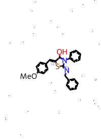 COc1ccc(/C=C2\S/C(=N\Cc3ccccc3)N(c3ccccc3)C2O)cc1